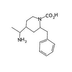 CC(N)C1CCN(C(=O)O)C(Cc2ccccc2)C1